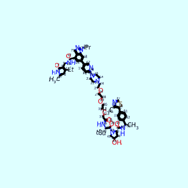 CCc1cc(C)[nH]c(=O)c1CNC(=O)c1cc(-c2ccc(N3CCN(CCOCCOCCOCC(=O)N[C@H](C(=O)N4C[C@H](O)C[C@H]4C(=O)N[C@@H](C)c4ccc(-c5scnc5C)cc4)C(C)(C)C)CC3)nc2)cc2c1cnn2C(C)C